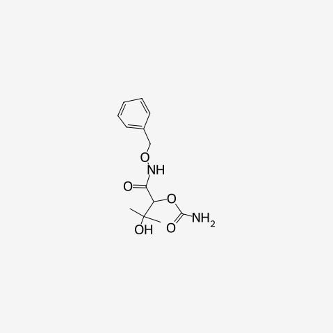 CC(C)(O)C(OC(N)=O)C(=O)NOCc1ccccc1